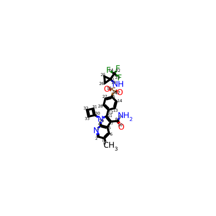 Cc1cnc2c(c1)c(C(N)=O)c(-c1ccc(S(=O)(=O)NC3(C(F)(F)F)CC3)cc1)n2C1=CC=C1